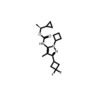 Cc1c(C2CC(F)(F)C2)nn(C2CCC2)c1NC(=O)O[C@@H](C)C1CC1